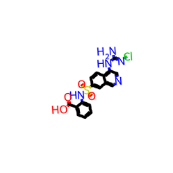 NC(=NCl)Nc1cncc2cc(S(=O)(=O)Nc3ccccc3C(=O)O)ccc12